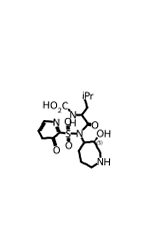 CC(C)CC(NC(=O)O)C(=O)N(C1CCCNC[C@@H]1O)S(=O)(=O)C1=NC=CCC1=O